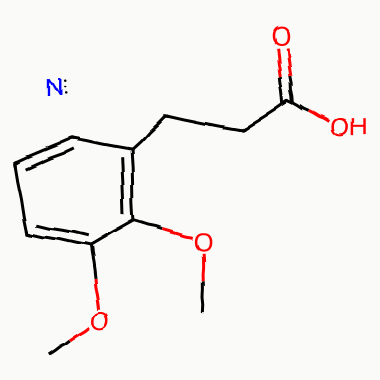 COc1cccc(CCC(=O)O)c1OC.[N]